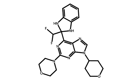 FC(F)C1(c2nc(N3CCOCC3)nc3c2ncn3C2CCOCC2)Nc2ccccc2N1